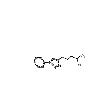 CCCC(CC)CCCc1cn(-c2ccccc2)nn1